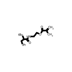 C=C(C)C(=O)OCCNC(=O)C(CC(C)C)C(C)(C)C